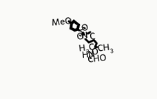 COc1ccc(S(=O)(=O)N2CCC(CC(C)(C)ONC=O)CC2)cc1